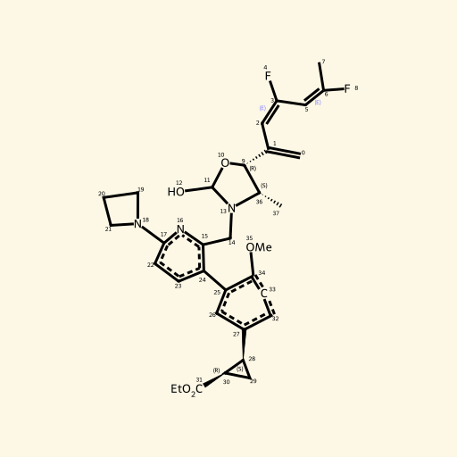 C=C(/C=C(F)\C=C(/C)F)[C@H]1OC(O)N(Cc2nc(N3CCC3)ccc2-c2cc([C@H]3C[C@H]3C(=O)OCC)ccc2OC)[C@H]1C